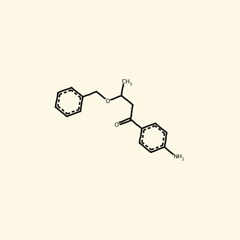 CC(CC(=O)c1ccc(N)cc1)OCc1ccccc1